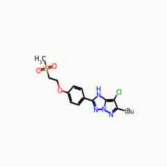 CC(C)(C)c1nn2nc(-c3ccc(OCCS(C)(=O)=O)cc3)[nH]c2c1Cl